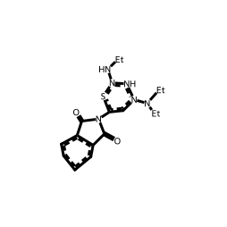 CCNn1[nH]n(N(CC)CC)cc(N2C(=O)c3ccccc3C2=O)s1